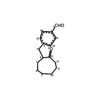 O=Cc1ccc(CC2CCCCCCC2=O)cc1